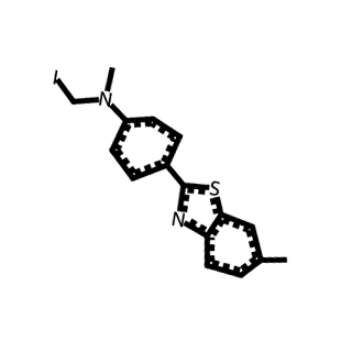 Cc1ccc2nc(-c3ccc(N(C)CI)cc3)sc2c1